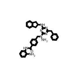 Nc1ccccc1NC(=O)c1ccc(CN(N)c2nc(Cc3ccccc3)nc(NC3Cc4ccccc4C3)n2)cc1